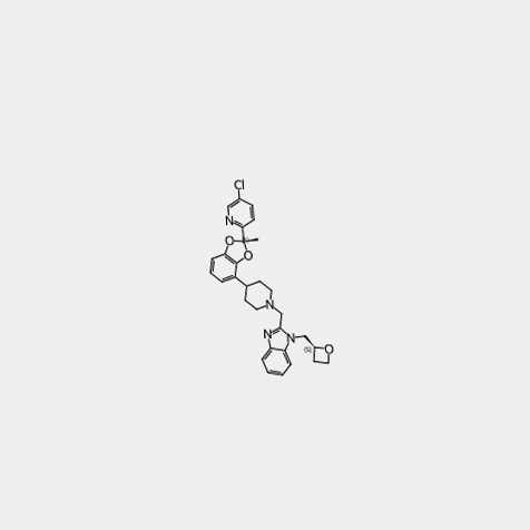 C[C@]1(c2ccc(Cl)cn2)Oc2cccc(C3CCN(Cc4nc5ccccc5n4C[C@@H]4CCO4)CC3)c2O1